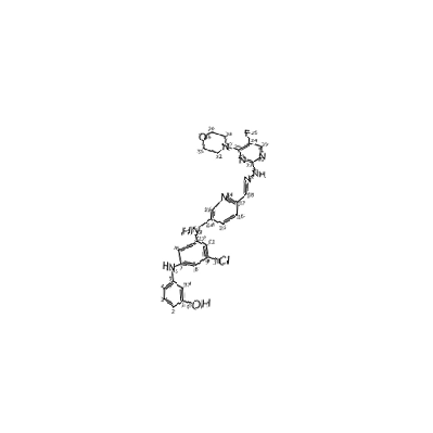 Oc1cccc(Nc2cc(Cl)cc(Nc3ccc(/C=N/Nc4ncc(F)c(N5CCOCC5)n4)nc3)c2)c1